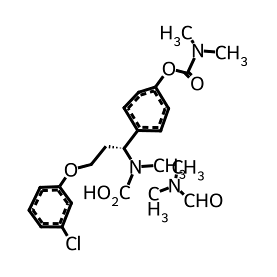 CN(C)C(=O)Oc1ccc([C@@H](CCOc2cccc(Cl)c2)N(C)C(=O)O)cc1.CN(C)C=O